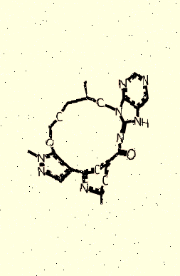 Cc1cc2cc(n1)-c1cnn(C)c1OCCC[C@@H](C)CN1/C(=N/C2=O)Nc2cncnc21